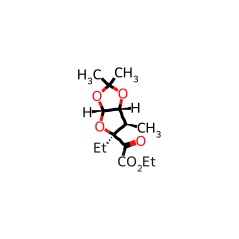 CCOC(=O)C(=O)[C@@]1(CC)O[C@@H]2OC(C)(C)O[C@@H]2[C@H]1C